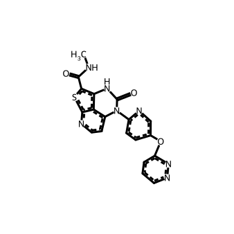 CNC(=O)c1sc2nccc3c2c1NC(=O)N3c1ccc(Oc2cccnn2)cn1